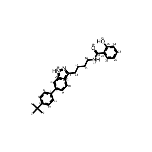 CC(C)(C)c1ccc(-c2ccc3c(CCCCNC(=O)c4ccccc4O)n[nH]c3c2)cc1